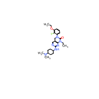 CCOc1cccc(N2Cc3cnc(NC4CCC(N(C)C)CC4)nc3N(CC)C2=O)c1F